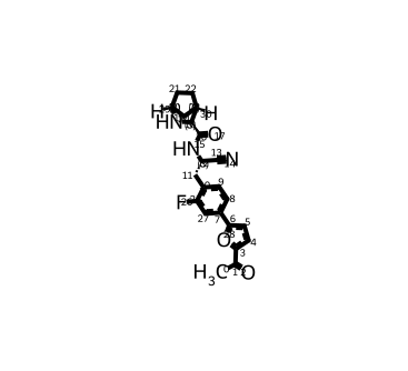 CC(=O)c1ccc(-c2ccc(C[C@@H](C#N)NC(=O)[C@H]3N[C@@H]4CC[C@H]3C4)c(F)c2)o1